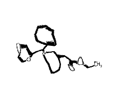 CCOC(=O)CC1CCCN(C(C2=CC=CCC2)C2=COC=CO2)C1